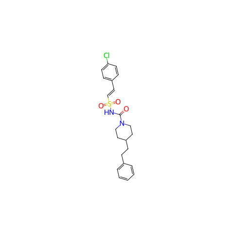 O=C(NS(=O)(=O)C=Cc1ccc(Cl)cc1)N1CCC(CCc2ccccc2)CC1